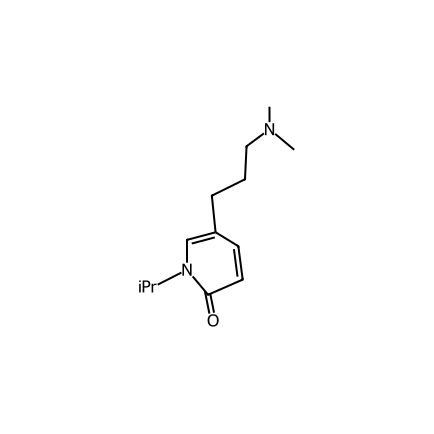 CC(C)n1cc(CCCN(C)C)ccc1=O